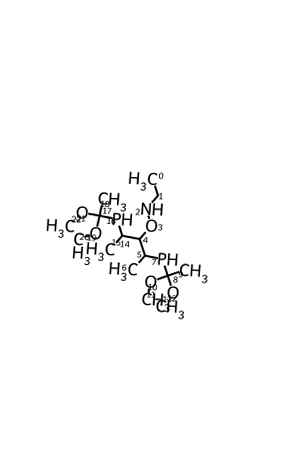 CCNOC(C(C)PC(C)(OC)OC)C(C)PC(C)(OC)OC